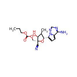 CCCOC(=O)OC[C@@]1(C#N)O[C@@H](c2ccc3c(N)ncnn23)[C@H](C)[C@@H]1O